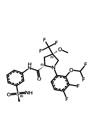 CO[C@@]1(C(F)(F)F)C[C@@H](C(=O)Nc2cccc([S@](C)(=N)=O)c2)N(c2ccc(F)c(F)c2OC(F)F)C1